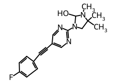 CN1C(O)N(c2ncc(C#Cc3ccc(F)cc3)cn2)CC1(C)C